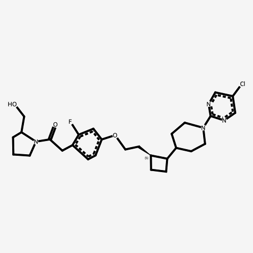 O=C(Cc1ccc(OCC[C@@H]2CCC2C2CCN(c3ncc(Cl)cn3)CC2)cc1F)N1CCCC1CO